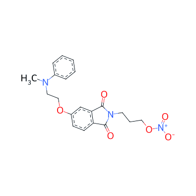 CN(CCOc1ccc2c(c1)C(=O)N(CCCO[N+](=O)[O-])C2=O)c1ccccc1